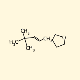 C1CCOC1.CC=CC(C)(C)C